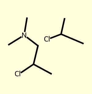 CC(C)Cl.CC(Cl)CN(C)C